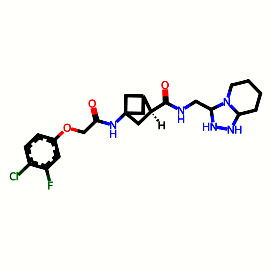 O=C(COc1ccc(Cl)c(F)c1)NC12CC(C1)[C@@H](C(=O)NCC1NNC3CCCCN31)C2